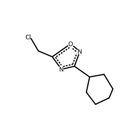 ClCc1nc(C2CCCCC2)no1